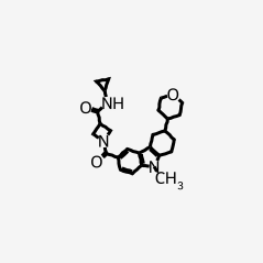 Cn1c2c(c3cc(C(=O)N4CC(C(=O)NC5CC5)C4)ccc31)CC(C1CCOCC1)CC2